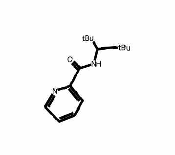 CC(C)(C)C(NC(=O)c1ccccn1)C(C)(C)C